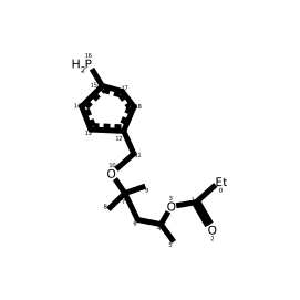 CCC(=O)OC(C)CC(C)(C)OCc1ccc(P)cc1